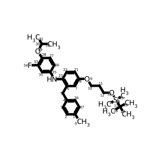 Cc1ccc(Cc2cc(OCCCO[Si](C)(C)C(C)(C)C)ccc2Nc2ccc(OC(C)C)c(F)c2)cc1